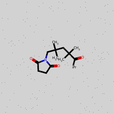 CC(C)C(=O)C(C)(C)CC(C)(C)CN1C(=O)CCC1=O